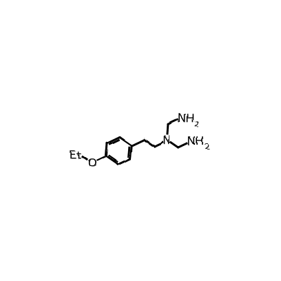 CCOc1ccc(CCN(CN)CN)cc1